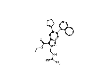 CCOC(=O)c1c(CNC(=N)N)sc2cc(-c3cccc4ccccc34)c(C3=CCCC3)cc12